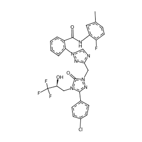 Cc1ccc(F)c(NC(=O)c2ccccc2-n2cnc(Cn3nc(-c4ccc(Cl)cc4)n(C[C@H](O)C(F)(F)F)c3=O)n2)c1